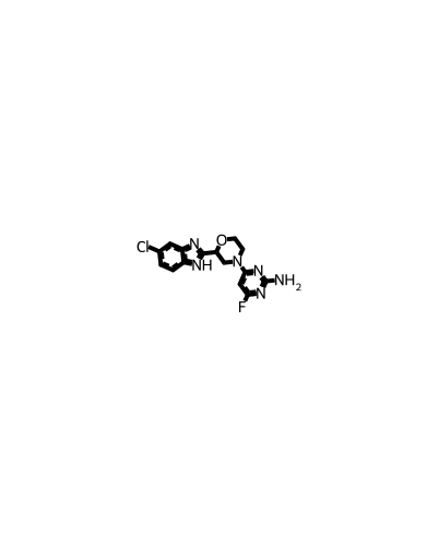 Nc1nc(F)cc(N2CCOC(c3nc4cc(Cl)ccc4[nH]3)C2)n1